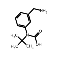 CC(C)(C)N(C(=O)O)c1cccc(CN)c1